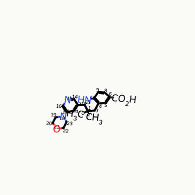 CC1(C)Cc2cc(C(=O)O)ccc2NC1c1cncc(N2CCOCC2)c1